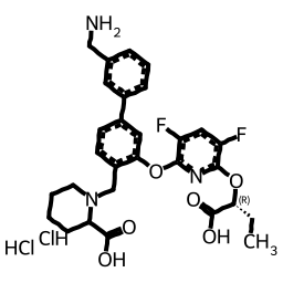 CC[C@@H](Oc1nc(Oc2cc(-c3cccc(CN)c3)ccc2CN2CCCCC2C(=O)O)c(F)cc1F)C(=O)O.Cl.Cl